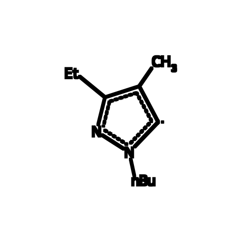 CCCCn1[c]c(C)c(CC)n1